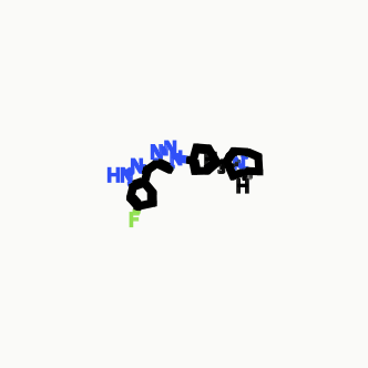 CN1C2CC[C@H]1C[C@@H](c1ccc(-n3cc(-c4n[nH]c5cc(F)ccc45)nn3)cc1)C2